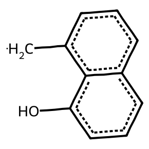 [CH2]c1cccc2cccc(O)c12